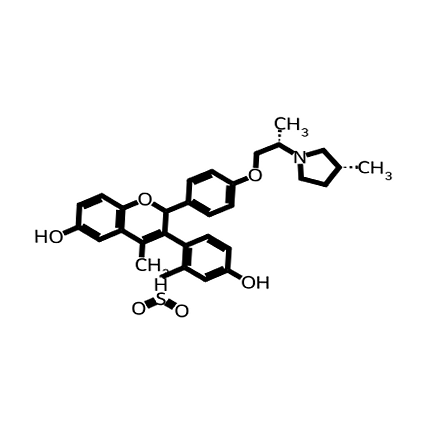 CC1=C(c2ccc(O)cc2C[SH](=O)=O)C(c2ccc(OC[C@H](C)N3CC[C@@H](C)C3)cc2)Oc2ccc(O)cc21